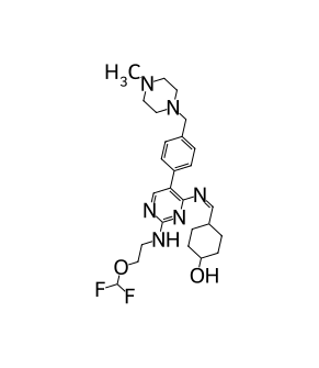 CN1CCN(Cc2ccc(-c3cnc(NCCOC(F)F)nc3/N=C\C3CCC(O)CC3)cc2)CC1